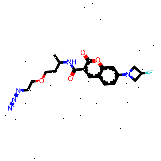 CC(CCOCCN=[N+]=[N-])NC(=O)c1cc2ccc(N3CC(F)C3)cc2oc1=O